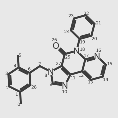 Cc1ccc(C)c(Cn2cnc3c4cccnc4n(-c4ccccc4)c(=O)c32)c1